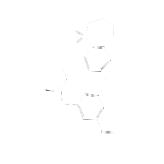 COC[C@H](C)Oc1cc(Oc2ccc3c(c2)OCCCS3(=O)=O)cc(C(=O)O)c1